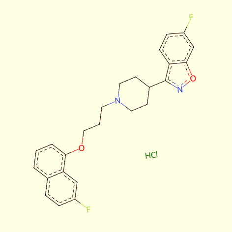 Cl.Fc1ccc2c(C3CCN(CCCOc4cccc5ccc(F)cc45)CC3)noc2c1